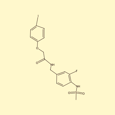 CS(=O)(=O)Nc1ccc(CNC(=O)COc2ccc(I)cc2)cc1F